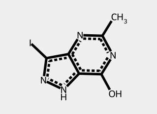 Cc1nc(O)c2[nH]nc(I)c2n1